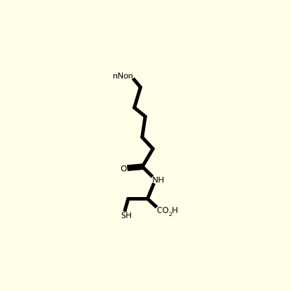 CCCCCCCCCCCCCCC(=O)NC(CS)C(=O)O